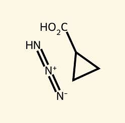 O=C(O)C1CC1.[N-]=[N+]=N